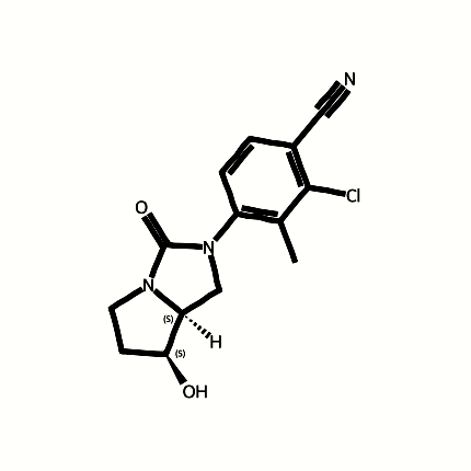 Cc1c(N2C[C@H]3[C@@H](O)CCN3C2=O)ccc(C#N)c1Cl